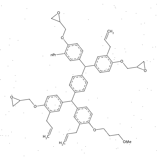 C=CCc1cc(C(c2ccc(C(c3ccc(OCC4CO4)c(CC=C)c3)c3ccc(OCC4CO4)c(CCC)c3)cc2)c2ccc(OCC3CO3)c(CC=C)c2)ccc1OCCCOC